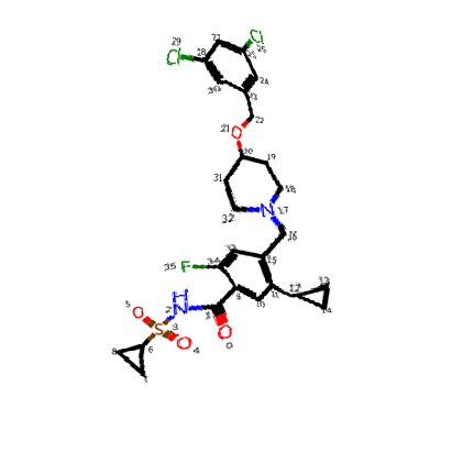 O=C(NS(=O)(=O)C1CC1)c1cc(C2CC2)c(CN2CCC(OCc3cc(Cl)cc(Cl)c3)CC2)cc1F